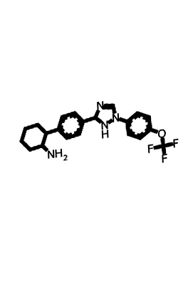 NC1CCCCC1c1ccc(C2N=CN(c3ccc(OC(F)(F)F)cc3)N2)cc1